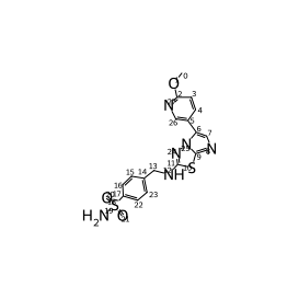 COc1ccc(-c2cnc3sc(NCc4ccc(S(N)(=O)=O)cc4)nn23)cn1